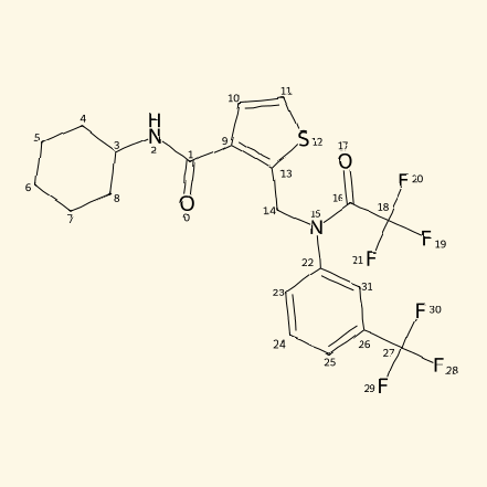 O=C(NC1CCCCC1)c1ccsc1CN(C(=O)C(F)(F)F)c1cccc(C(F)(F)F)c1